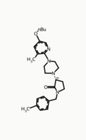 CCCCOc1cnc(N2CCN([C@@H]3CCN(Cc4ccc(C)cc4)C3=O)CC2)c(C)c1